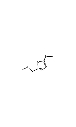 COCc1ncc(SC)s1